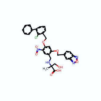 CC(CO)(NCc1cc([N+](=O)[O-])c(OCc2cccc(-c3ccccc3)c2Cl)cc1OCc1ccc2nonc2c1)C(=O)O